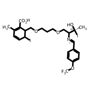 CC1=C(C(=O)O)C(COCCCOCC(/N=C/c2ccc(OC(F)(F)F)cc2)[C@@](C)(O)I)C(I)C=C1